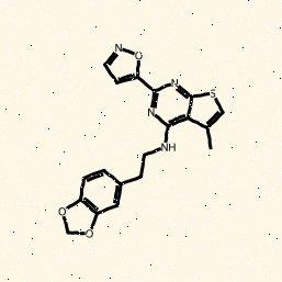 Cc1csc2nc(-c3ccno3)nc(NCCc3ccc4c(c3)OCO4)c12